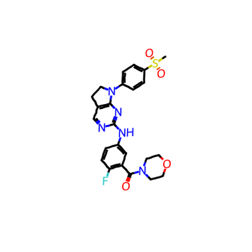 CS(=O)(=O)c1ccc(N2CCc3cnc(Nc4ccc(F)c(C(=O)N5CCOCC5)c4)nc32)cc1